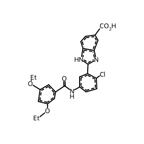 CCOc1cc(OCC)cc(C(=O)Nc2ccc(Cl)c(-c3nc4cc(C(=O)O)ccc4[nH]3)c2)c1